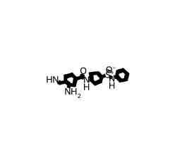 N=Cc1ccc(C(=O)Nc2ccc([S+]([O-])Nc3ccccc3)cc2)cc1N